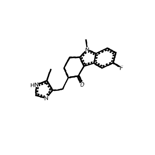 Cc1[nH]cnc1CC1CCc2c(c3cc(F)ccc3n2C)C1=O